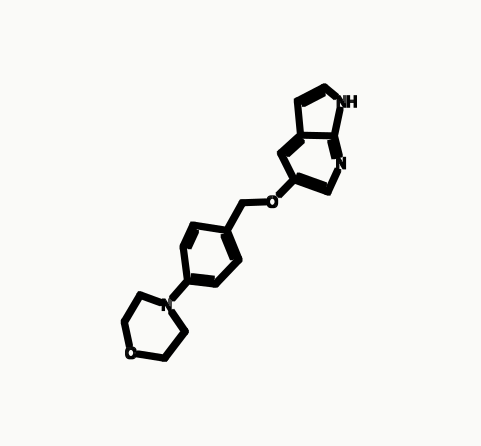 c1cc2cc(OCc3ccc(N4CCOCC4)cc3)cnc2[nH]1